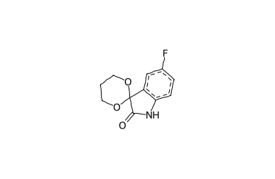 O=C1Nc2ccc(F)cc2C12OCCCO2